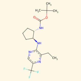 CCc1nc(C(F)(F)F)cnc1N[C@H]1CCC[C@@H]1NC(=O)OC(C)(C)C